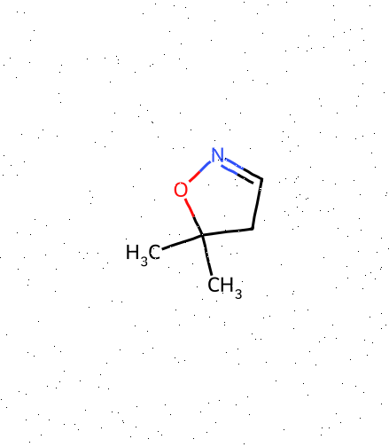 CC1(C)CC=NO1